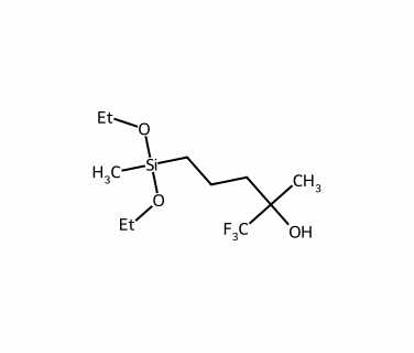 CCO[Si](C)(CCCC(C)(O)C(F)(F)F)OCC